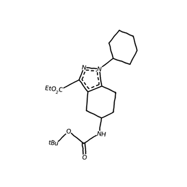 CCOC(=O)c1nn(C2CCCCC2)c2c1CC(NC(=O)OC(C)(C)C)CC2